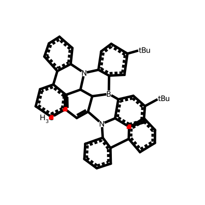 CC1=CC2C3B(c4cc(C(C)(C)C)ccc4N(c4ccccc4-c4ccccc4)C3=C1)c1cc(C(C)(C)C)ccc1N2c1ccccc1-c1ccccc1